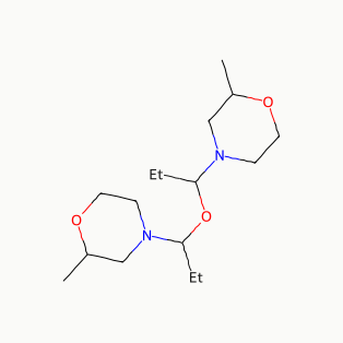 CCC(OC(CC)N1CCOC(C)C1)N1CCOC(C)C1